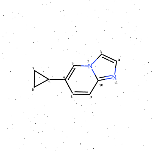 c1cn2cc(C3CC3)ccc2n1